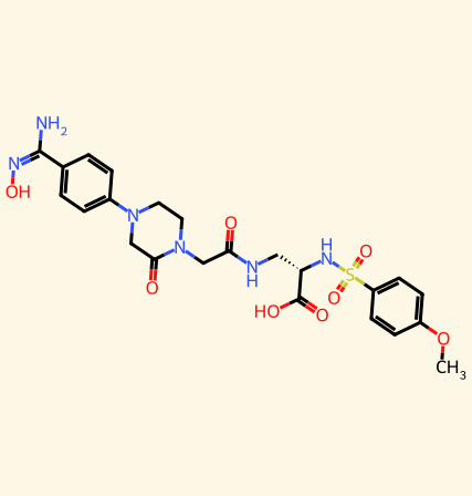 COc1ccc(S(=O)(=O)N[C@@H](CNC(=O)CN2CCN(c3ccc(/C(N)=N\O)cc3)CC2=O)C(=O)O)cc1